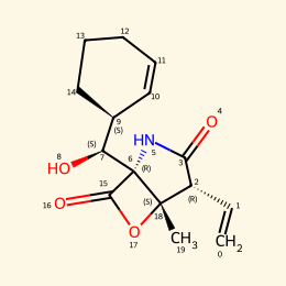 C=C[C@H]1C(=O)N[C@@]2([C@@H](O)[C@@H]3C=CCCC3)C(=O)O[C@@]12C